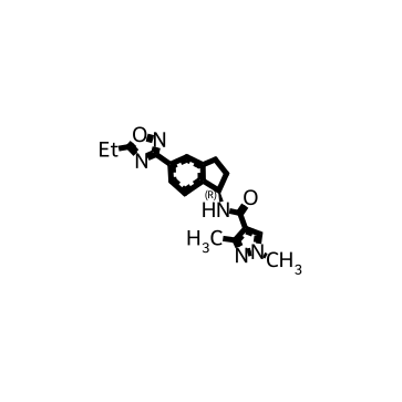 CCc1nc(-c2ccc3c(c2)CC[C@H]3NC(=O)c2cn(C)nc2C)no1